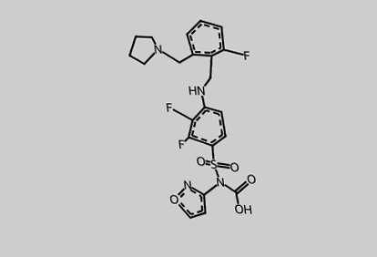 O=C(O)N(c1ccon1)S(=O)(=O)c1ccc(NCc2c(F)cccc2CN2CCCC2)c(F)c1F